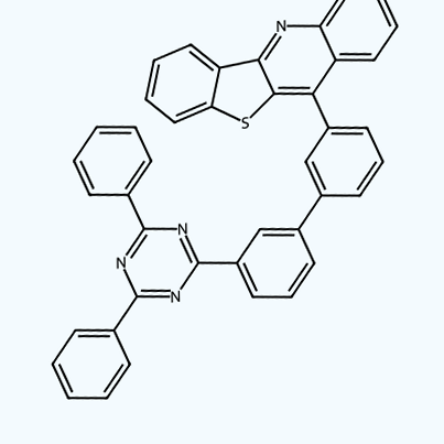 c1ccc(-c2nc(-c3ccccc3)nc(-c3cccc(-c4cccc(-c5c6ccccc6nc6c5sc5ccccc56)c4)c3)n2)cc1